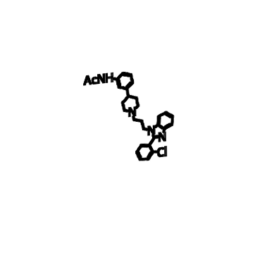 CC(=O)Nc1cccc(C2CCN(CCCn3c(-c4ccccc4Cl)nc4ccccc43)CC2)c1